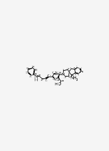 N[C@@H]1c2ccccc2CC12CCN(c1ncc(C#CCCNc3ccccc3)nc1CO)CC2